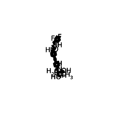 C=C(N[C@H](C(=O)NO)[C@@H](C)O)c1ccc(C#Cc2ccc(NC(=O)CNCc3ccc(F)cc3F)cc2)cc1